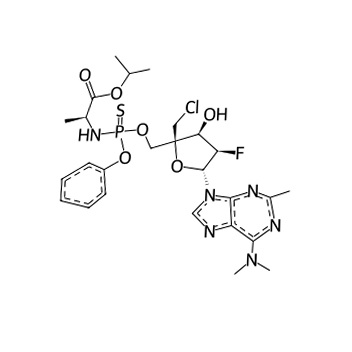 Cc1nc(N(C)C)c2ncn([C@@H]3O[C@](CCl)(COP(=S)(N[C@@H](C)C(=O)OC(C)C)Oc4ccccc4)[C@@H](O)[C@H]3F)c2n1